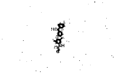 Cc1cc(NC(=O)C=O)cc(C)c1Oc1cccc(C(O)c2ccc(F)cc2)c1